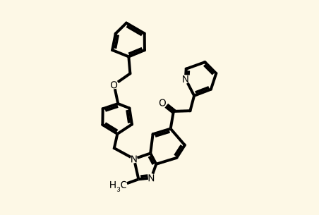 Cc1nc2ccc(C(=O)Cc3ccccn3)cc2n1Cc1ccc(OCc2ccccc2)cc1